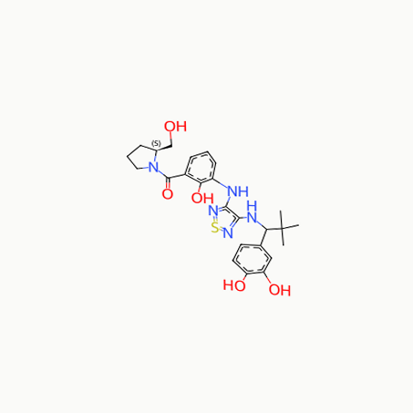 CC(C)(C)C(Nc1nsnc1Nc1cccc(C(=O)N2CCC[C@H]2CO)c1O)c1ccc(O)c(O)c1